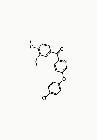 COc1ccc(C(=O)c2ccc(Oc3ccc(Cl)cc3)cn2)cc1OC